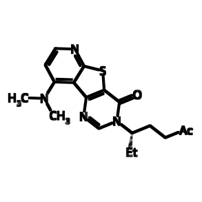 CC[C@@H](CCC(C)=O)n1cnc2c(sc3nccc(N(C)C)c32)c1=O